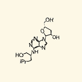 CC(C)C[C@@H](CO)Nc1ncnc2c1ncn2[C@@H]1O[C@H](CO)CC1O